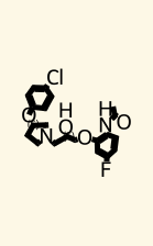 CC(=O)Nc1ccc(F)cc1OC[C@@H](O)CN1CC[C@H](Oc2ccc(Cl)cc2)C1